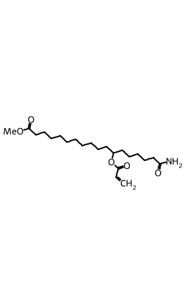 C=CC(=O)OC(CCCCCCCCCCC(=O)OC)CCCCCC(N)=O